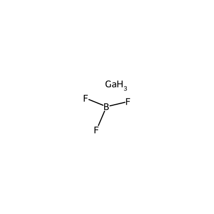 FB(F)F.[GaH3]